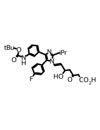 CC(C)c1nc(-c2cccc(NC(=O)OC(C)(C)C)c2)c(-c2ccc(F)cc2)n1C=CC(O)CC(=O)CC(=O)O